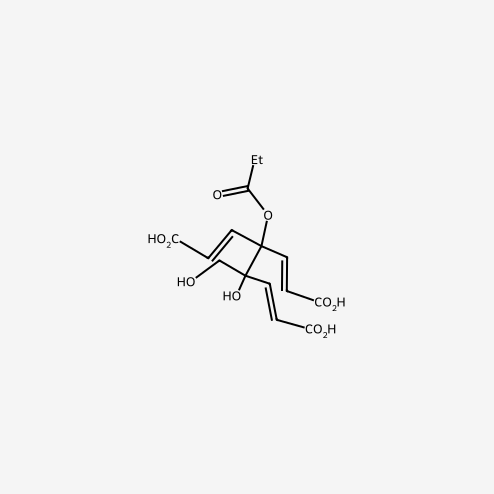 CCC(=O)OC(C=CC(=O)O)(C=CC(=O)O)C(O)(C=CC(=O)O)CO